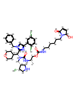 C[C@@H](COC(=O)NCCCCCCN1C(=O)C=CC1O)NC(=O)N(C[C@@H]1CNC[C@@H]1F)[C@@H](c1nc(-c2cc(F)ccc2F)cn1Cc1ccccc1)C1CCOCC1